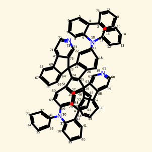 c1ccc(-c2ccccc2N(c2ccccc2)c2ccc3c(c2)C2(C4=C3C3(c5cc(N(c6ccccc6)c6ccccc6-c6ccccc6)ccc54)c4ccccc4-c4ccncc43)c3ccccc3-c3ccncc32)cc1